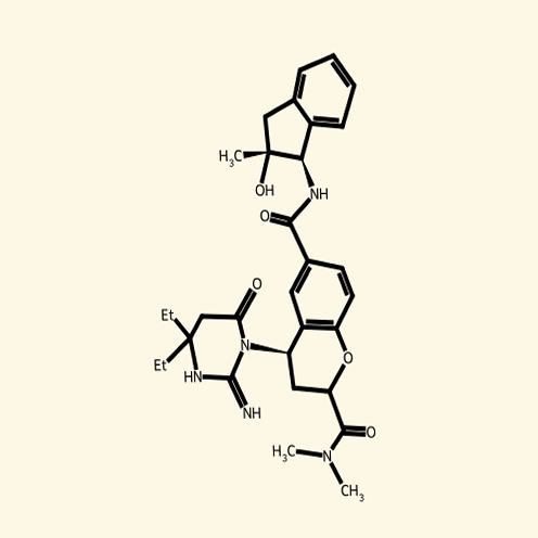 CCC1(CC)CC(=O)N([C@@H]2CC(C(=O)N(C)C)Oc3ccc(C(=O)N[C@@H]4c5ccccc5C[C@@]4(C)O)cc32)C(=N)N1